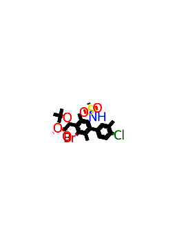 COC(=O)[C@@H](OC(C)(C)C)c1c(C)c(NS(C)(=O)=O)c(-c2ccc(Cl)c(C)c2)c(C)c1Br